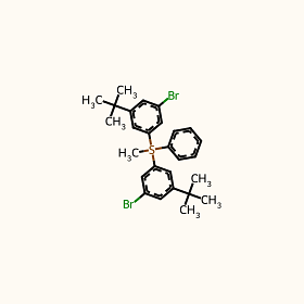 CC(C)(C)c1cc(Br)cc(S(C)(c2ccccc2)c2cc(Br)cc(C(C)(C)C)c2)c1